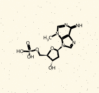 Cn1cnc(=N)c2ncn([C@H]3C[C@H](O)[C@@H](COP(=O)(O)O)O3)c21